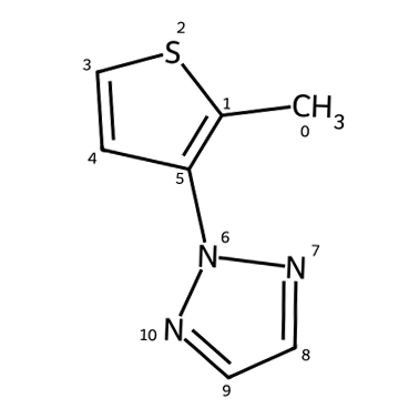 Cc1sccc1-n1nccn1